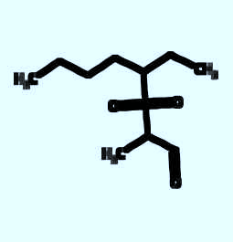 CCCCC(CC)S(=O)(=O)C(C)C=O